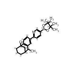 CC1c2cc(-c3ccc(B4OC(C)(C)C(C)(C)O4)cn3)ccc2C2(C)CCCC1C2